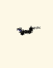 C=C(/C=C(F)\C=C(/C)F)[C@@H]1CC=NN1C(=O)N1CCN(c2ncc(F)c(-n3nc(C)c(NC(C)=O)c3C)n2)CC1